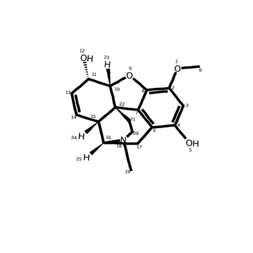 COc1cc(O)c2c3c1O[C@H]1[C@@H](O)C=C[C@H]4[C@@H](C2)N(C)CC[C@@]341